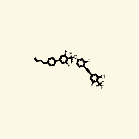 C=CCCc1ccc(-c2cc(F)c(C(F)(F)Oc3ccc(C#Cc4cc(F)c(C(F)(F)F)c(Cl)c4)c(F)c3)c(F)c2)cc1